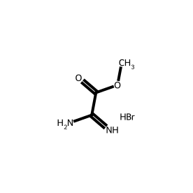 Br.COC(=O)C(=N)N